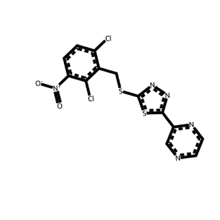 O=[N+]([O-])c1ccc(Cl)c(CSc2nnc(-c3cnccn3)s2)c1Cl